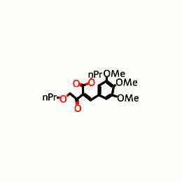 CCCOCC(=O)C(=Cc1cc(OC)c(OC)c(OC)c1)C(=O)OCCC